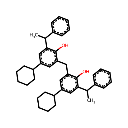 CC(c1ccccc1)c1cc(C2CCCCC2)cc(Cc2cc(C3CCCCC3)cc(C(C)c3ccccc3)c2O)c1O